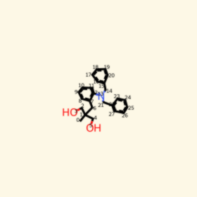 CC(CO)(CO)Cc1ccccc1N(Cc1ccccc1)Cc1ccccc1